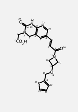 O=C(O)CN1Cc2cc(C=CC(=O)N3CC(OCc4cccs4)C3)cnc2NC1=O